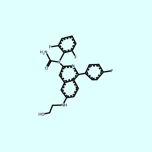 NC(=O)N(c1cc2cc(NCCO)ccc2c(-c2ccc(F)cc2)n1)c1c(F)cccc1F